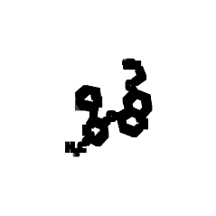 Cc1ccc(Oc2ccnc3ccc(OCC(C)(C)C)cc23)c(-c2ncccn2)n1